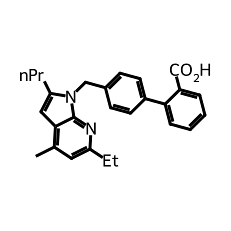 CCCc1cc2c(C)cc(CC)nc2n1Cc1ccc(-c2ccccc2C(=O)O)cc1